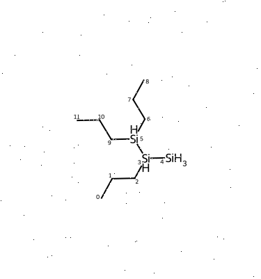 CCC[SiH]([SiH3])[SiH](CCC)CCC